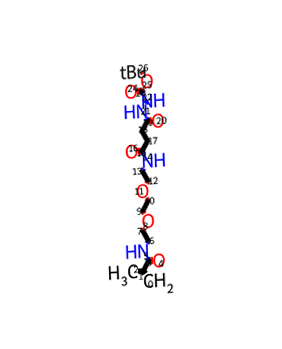 C=C(C)C(=O)NCCOCCOCCNC(=O)CCC(=O)NNC(=O)OC(C)(C)C